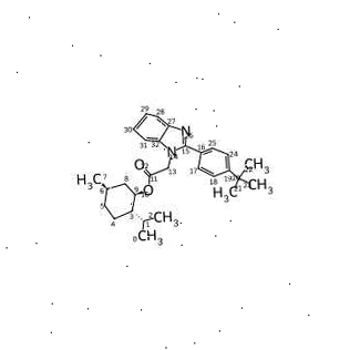 CC(C)[C@@H]1CC[C@@H](C)C[C@H]1OC(=O)Cn1c(-c2ccc(C(C)(C)C)cc2)nc2ccccc21